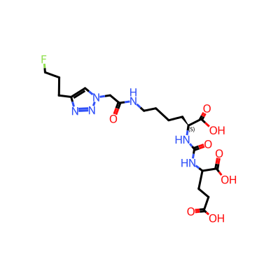 O=C(O)CCC(NC(=O)N[C@@H](CCCCNC(=O)Cn1cc(CCCF)nn1)C(=O)O)C(=O)O